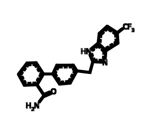 NC(=O)c1ccccc1-c1ccc(Cc2nc3cc(C(F)(F)F)ccc3[nH]2)cc1